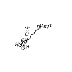 CCCCCCCCCCCCCC[N+](O)(O)O.[OH-]